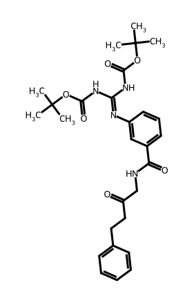 CC(C)(C)OC(=O)NC(=Nc1cccc(C(=O)NCC(=O)CCc2ccccc2)c1)NC(=O)OC(C)(C)C